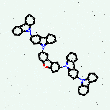 c1ccc2c(c1)c1ccccc1n2-c1ccc2c(c1)c1ccccc1n2-c1ccc2oc3ccc(-n4c5ccccc5c5cc(-n6c7ccccc7c7ccccc76)ccc54)cc3c2c1